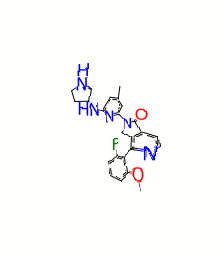 COc1cccc(F)c1-c1nccc2c1CN(c1cc(C)cc(N[C@@H]3CCNC3)n1)C2=O